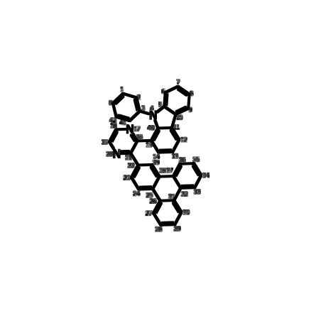 c1ccc(-n2c3ccccc3c3cccc(-c4nccnc4-c4ccc5c6ccccc6c6ccccc6c5c4)c32)cc1